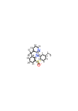 CCc1ccc2c(c1)N1c3ncccc3C(C)(C)c3cccc(c31)[S+]2[O-]